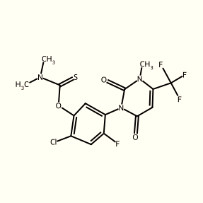 CN(C)C(=S)Oc1cc(-n2c(=O)cc(C(F)(F)F)n(C)c2=O)c(F)cc1Cl